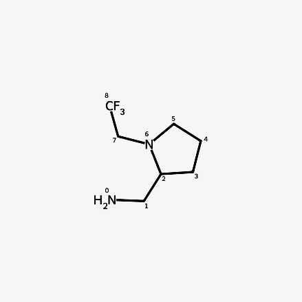 NCC1CCCN1CC(F)(F)F